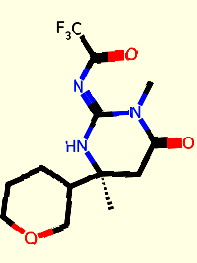 CN1C(=O)C[C@@](C)(C2CCCOC2)N/C1=N/C(=O)C(F)(F)F